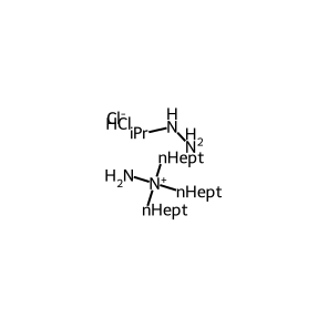 CC(C)NN.CCCCCCC[N+](N)(CCCCCCC)CCCCCCC.Cl.[Cl-]